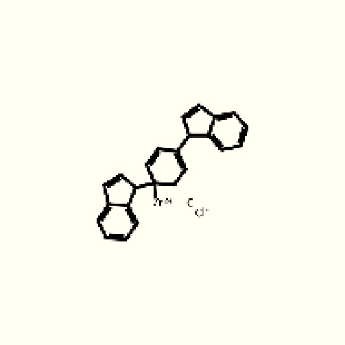 [Cl-].[Cl-].[Zr+2][C]1(C2C=Cc3ccccc32)C=CC(C2C=Cc3ccccc32)=CC1